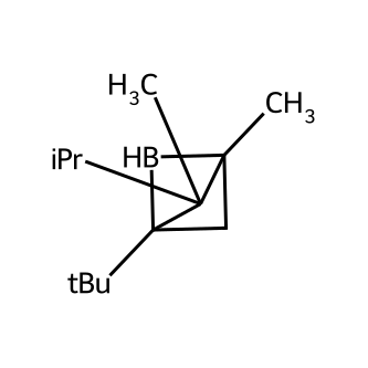 CC(C)C1(C)C2(C)BC1(C(C)(C)C)C2